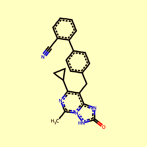 Cc1nc(C2CC2)c(Cc2ccc(-c3ccccc3C#N)cc2)c2nc(=O)[nH]n12